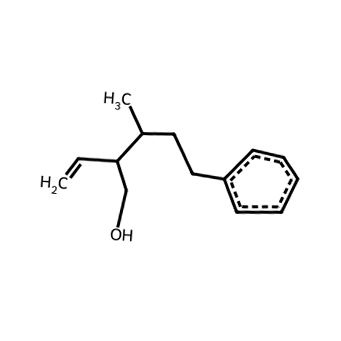 C=CC(CO)C(C)CCc1ccccc1